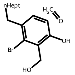 C=O.CCCCCCCCc1ccc(O)c(CO)c1Br